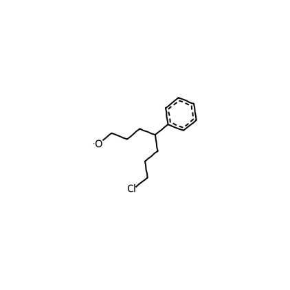 [O]CCCC(CCCCl)c1ccccc1